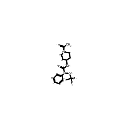 CC(=O)N1CCC(NC(=O)N(OC(F)(F)F)c2ccccc2)CC1